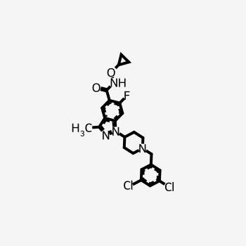 Cc1nn(C2CCN(Cc3cc(Cl)cc(Cl)c3)CC2)c2cc(F)c(C(=O)NOC3CC3)cc12